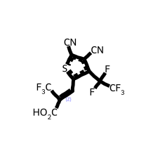 N#Cc1sc(/C=C(/C(=O)O)C(F)(F)F)c(C(F)(F)C(F)(F)F)c1C#N